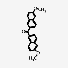 COc1ccc2cc(C(=O)c3ccc4cc(OC)ccc4c3)ccc2c1